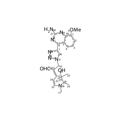 COc1cccc2c(-c3cn(C/C(C=O)=C/C=C\N(C)C(C)C(C)(C)O)nn3)nc(N)nc12